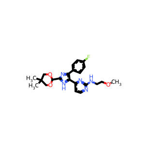 COCCNc1nccc(-c2[nH]c(C3OCC(C)(C)CO3)nc2-c2ccc(F)cc2)n1